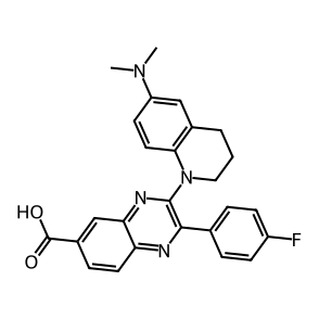 CN(C)c1ccc2c(c1)CCCN2c1nc2cc(C(=O)O)ccc2nc1-c1ccc(F)cc1